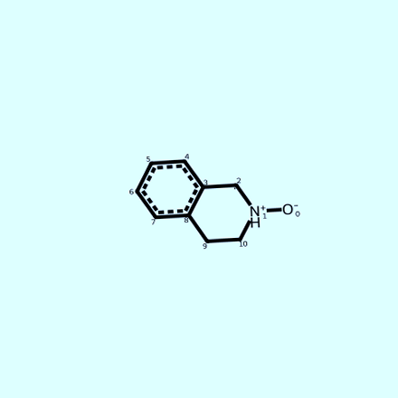 [O-][NH+]1[C]c2ccccc2CC1